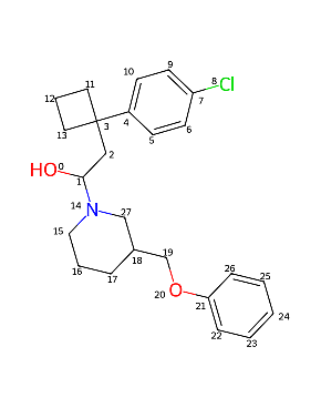 OC(CC1(c2ccc(Cl)cc2)CCC1)N1CCCC(COc2ccccc2)C1